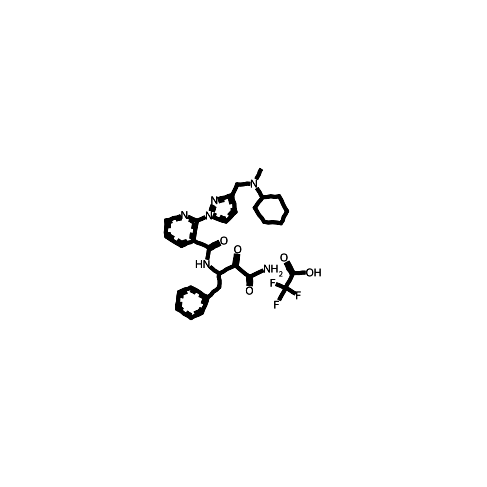 CN(Cc1ccn(-c2ncccc2C(=O)NC(Cc2ccccc2)C(=O)C(N)=O)n1)C1CCCCC1.O=C(O)C(F)(F)F